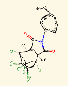 COc1cccc(N2C(=O)[C@@H]3[C@H](C2=O)[C@]2(Cl)C(Cl)=C(Cl)[C@@]3(Cl)C2(Cl)Cl)c1